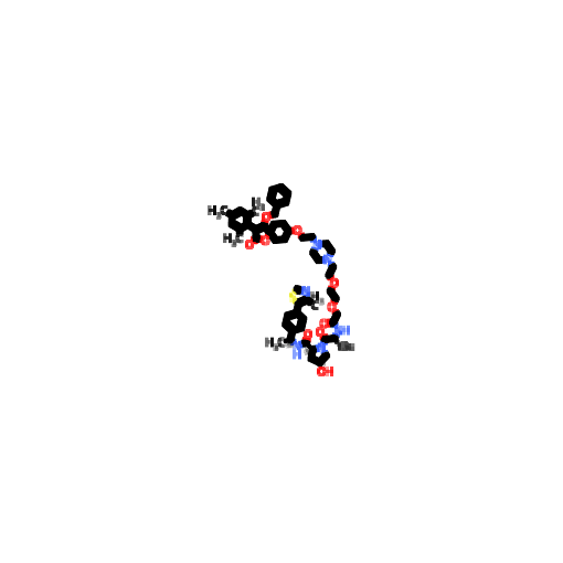 Cc1cc(C)c(C2=C(OCc3ccccc3)C3(CCC(OCCN4CCN(CCOCCOCC(=O)N[C@H](C(=O)N5C[C@H](O)C[C@H]5C(=O)N[C@@H](C)c5ccc(-c6scnc6C)cc5)C(C)(C)C)CC4)CC3)OC2=O)c(C)c1